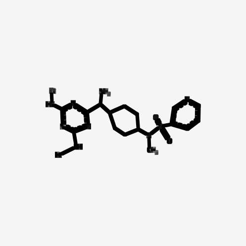 CCNc1nc(NCC)nc(C(N)C2CCC(N(C)S(=O)(=O)c3cccnc3)CC2)n1